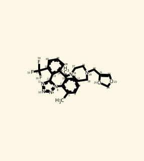 Cc1cccc(C)c1-n1nnnc1-c1c(CN2CCN(CC3=COCO3)CC2)cccc1C(F)(F)F